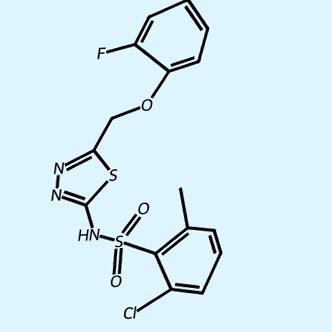 Cc1cccc(Cl)c1S(=O)(=O)Nc1nnc(COc2ccccc2F)s1